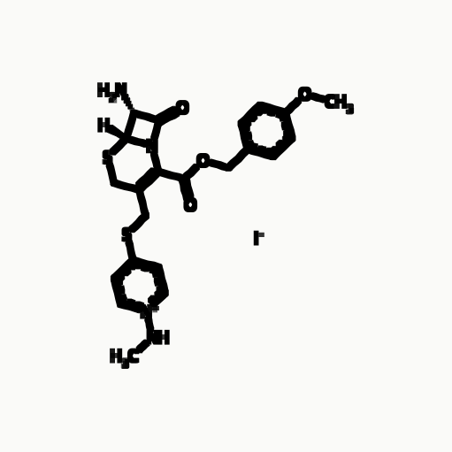 CN[n+]1ccc(SCC2=C(C(=O)OCc3ccc(OC)cc3)N3C(=O)[C@@H](N)[C@H]3SC2)cc1.[I-]